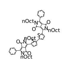 CCCCCCCCN1C(=O)C2=C(c3ccc(-c4ccc(C5=C6C(=O)N(CCCCCCCC)C(c7ccccc7)=C6C(=O)N5CCCCCCCC)s4)s3)N(CCCCCCCC)C(=O)C2=C1c1ccccc1